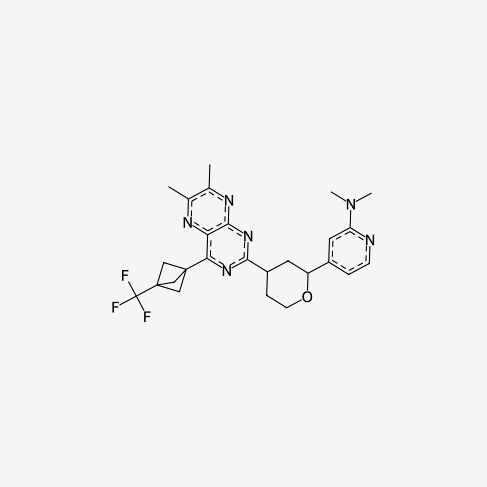 Cc1nc2nc(C3CCOC(c4ccnc(N(C)C)c4)C3)nc(C34CC(C(F)(F)F)(C3)C4)c2nc1C